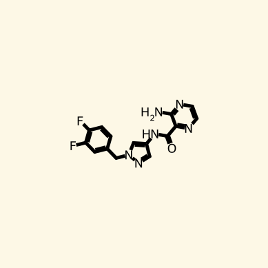 Nc1nccnc1C(=O)Nc1cnn(Cc2ccc(F)c(F)c2)c1